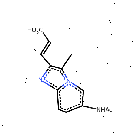 CC(=O)Nc1ccc2nc(C=CC(=O)O)c(C)n2c1